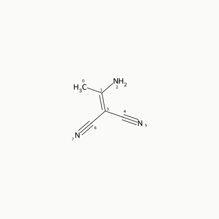 CC(N)=C(C#N)C#N